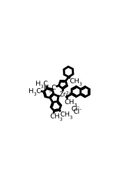 C/[C](c1ccc2ccccc2c1)=[Zr+2](/[C]1=CC(C2(C)CCCCC2)=CC1C)[CH]1c2cc(C)c(C)cc2-c2cc(C)c(C)cc21.[Cl-].[Cl-]